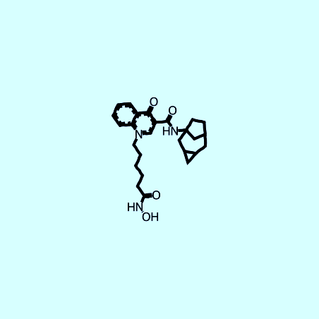 O=C(CCCCCn1cc(C(=O)NC23CCC(CC4CC4C2)C3)c(=O)c2ccccc21)NO